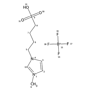 C[n+]1ccn(CCCCS(=O)(=O)O)c1.F[B-](F)(F)F